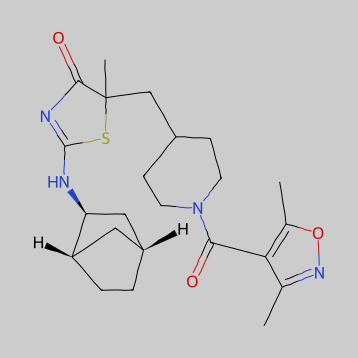 Cc1noc(C)c1C(=O)N1CCC(CC2(C)SC(N[C@H]3C[C@@H]4CC[C@H]3C4)=NC2=O)CC1